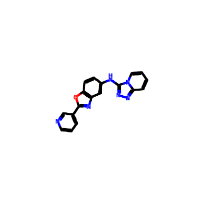 c1cncc(-c2nc3cc(Nc4nnc5ccccn45)ccc3o2)c1